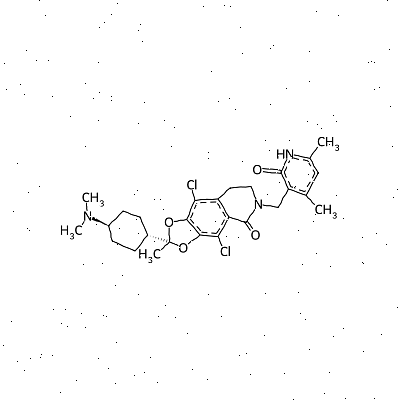 Cc1cc(C)c(CN2CCc3c(Cl)c4c(c(Cl)c3C2=O)OC(C)([C@H]2CC[C@H](N(C)C)CC2)O4)c(=O)[nH]1